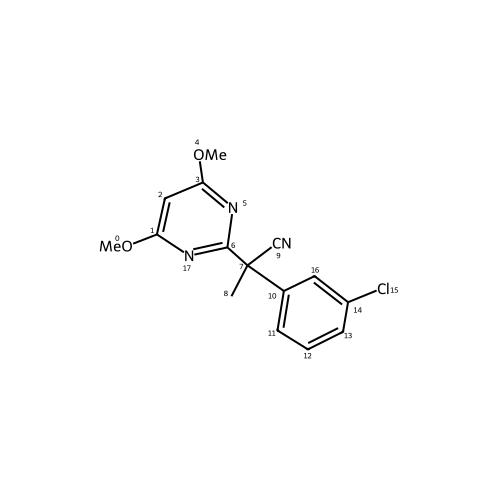 COc1cc(OC)nc(C(C)(C#N)c2cccc(Cl)c2)n1